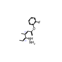 C=C(/C=C(C)\C(=C/C)NN)Oc1ccccc1F